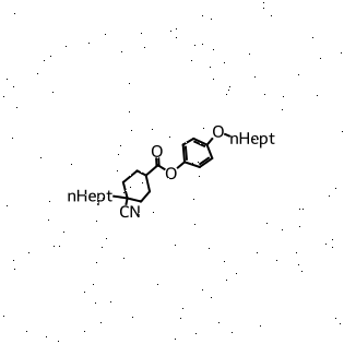 CCCCCCCOc1ccc(OC(=O)C2CCC(C#N)(CCCCCCC)CC2)cc1